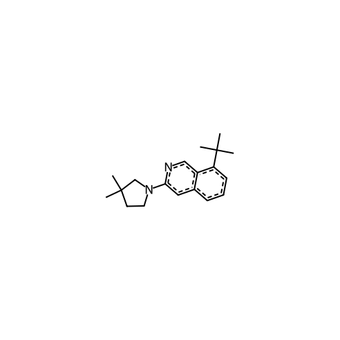 CC1(C)CCN(c2cc3cccc(C(C)(C)C)c3cn2)C1